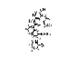 CSCC(C)Oc1cc(NC(=O)N2CCCc3cc(CN4CCN(C)CC4=O)c(C=O)nc32)ncc1C#N